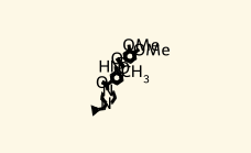 COc1ccc(S(=O)(=O)Nc2cc(C(=O)N3CCCN(CC4CC4)CC3)ccc2C)cc1OC